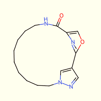 O=C1NCCCCCCCCCn2cc(cn2)-c2nc1co2